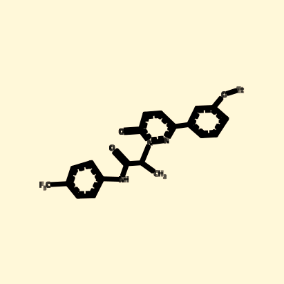 CCOc1cccc(-c2ccc(=O)n(C(C)C(=O)Nc3ccc(C(F)(F)F)cc3)n2)c1